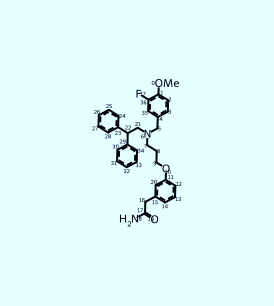 COc1ccc(CN(CCCOc2cccc(CC(N)=O)c2)CC(c2ccccc2)c2ccccc2)cc1F